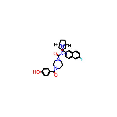 O=C(NC1C[C@H]2CC[C@H](C1)N2Cc1ccc2cc(F)ccc2c1)N1CCCN(C(=O)c2ccc(O)cc2)CC1